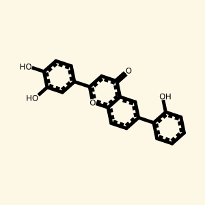 O=c1cc(-c2ccc(O)c(O)c2)oc2ccc(-c3ccccc3O)cc12